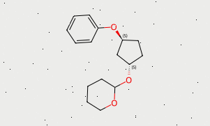 c1ccc(O[C@H]2CC[C@H](OC3CCCCO3)C2)cc1